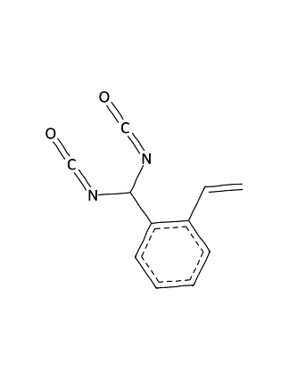 C=Cc1ccccc1C(N=C=O)N=C=O